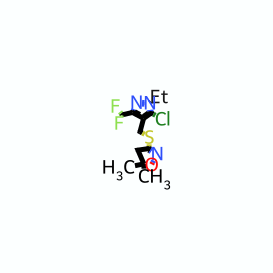 CCn1nc(C(F)F)c(CSC2=NOC(C)(C)C2)c1Cl